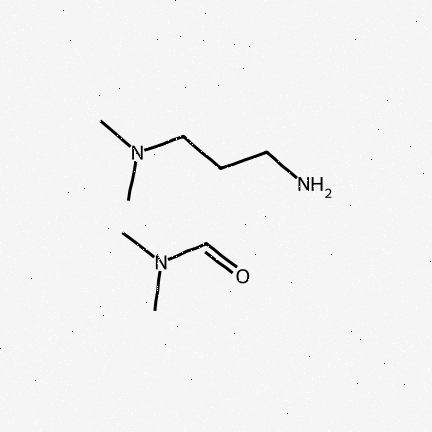 CN(C)C=O.CN(C)CCCN